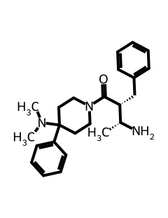 C[C@@H](N)[C@@H](Cc1ccccc1)C(=O)N1CCC(c2ccccc2)(N(C)C)CC1